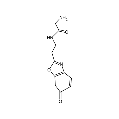 NCC(=O)NCCc1nc2c(o1)CC(=O)C=C2